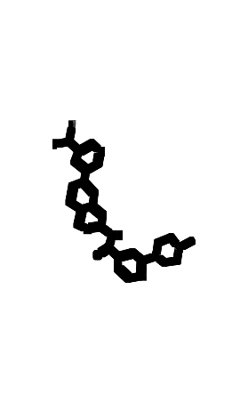 CN1CCN(c2cc(C(=O)Nc3cc4cc(-c5cncc(C(F)F)c5)ccc4cn3)ccn2)CC1